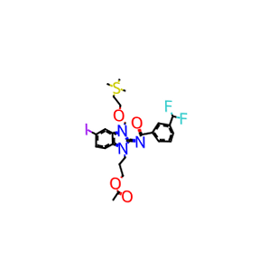 CC(=O)OCCCn1/c(=N/C(=O)c2cccc(C(F)F)c2)n(COCCS(C)(C)C)c2cc(I)ccc21